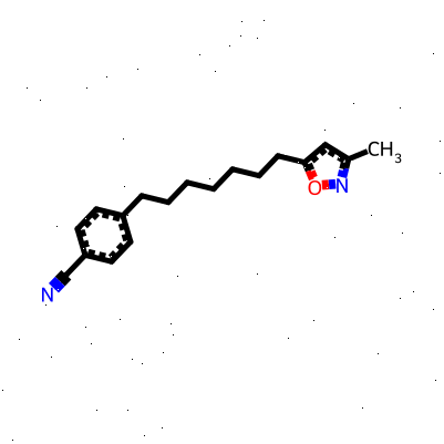 Cc1cc(CCCCCCCc2ccc(C#N)cc2)on1